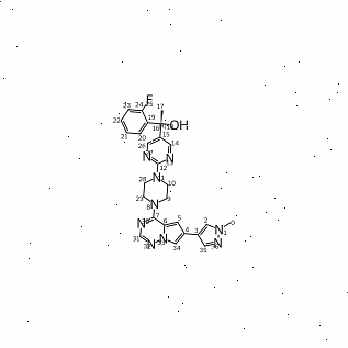 Cn1cc(-c2cc3c(N4CCN(c5ncc([C@@](C)(O)c6ccccc6F)cn5)CC4)ncnn3c2)cn1